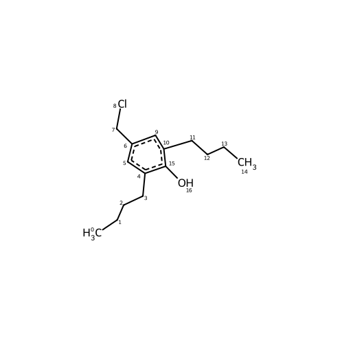 CCCCc1cc(CCl)cc(CCCC)c1O